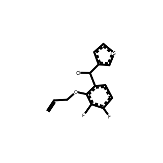 C=CCOc1c(C(Cl)c2ccsc2)ccc(F)c1F